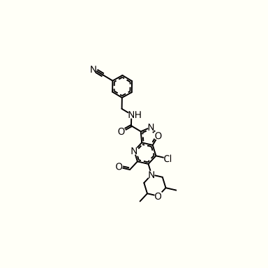 CC1CN(c2c(C=O)nc3c(C(=O)NCc4cccc(C#N)c4)noc3c2Cl)CC(C)O1